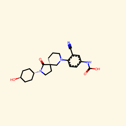 N#Cc1cc(NC(=O)O)ccc1N1CCC[C@@]2(CCN([C@H]3CC[C@H](O)CC3)C2=O)C1